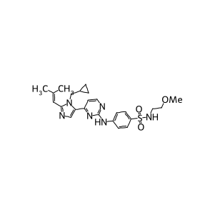 COCCNS(=O)(=O)c1ccc(Nc2nccc(-c3cnc(C=C(C)C)n3CC3CC3)n2)cc1